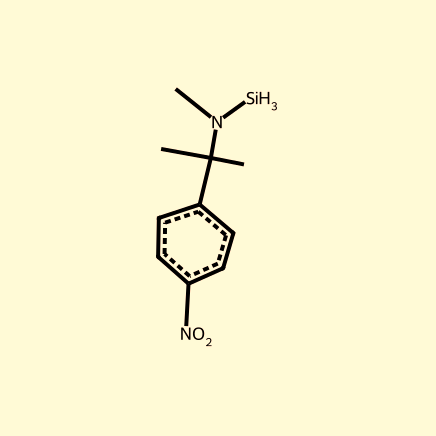 CN([SiH3])C(C)(C)c1ccc([N+](=O)[O-])cc1